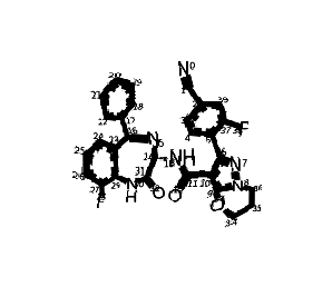 N#Cc1ccc(-c2nn3c(c2C(=O)N[C@H]2N=C(c4ccccc4)c4cccc(F)c4NC2=O)OCCC3)c(F)c1